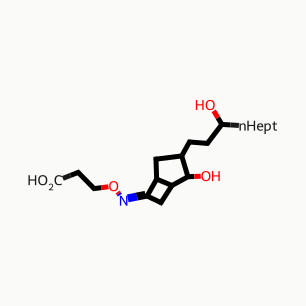 CCCCCCCC(O)CCC1CC2C(=NOCCC(=O)O)CC2C1O